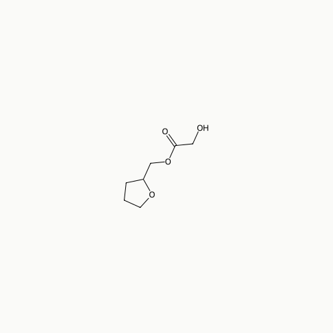 O=C(CO)OCC1CCCO1